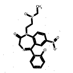 CC[S+]([O-])CCN1C(=O)CN=C(c2ccccc2Cl)c2cc([N+](=O)[O-])ccc21